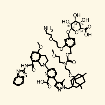 COCCN(CCOC12CC3(C)CC(C)(CC(Cn4ncc(-c5ccc(N6CCc7c(OC)ccc(C(=O)Nc8nc9ccccc9s8)c7C6)nc5C(=O)O)c4C)(C3)C1)C2)C(=O)OCc1ccc(O[C@@H]2O[C@H](C(=O)O)[C@@H](O)[C@H](O)[C@H]2O)cc1OCCOCCN